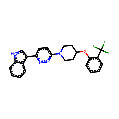 FC(F)(F)c1ccccc1OC1CCN(c2ccc(-c3c[nH]c4ccccc34)nn2)CC1